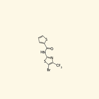 O=C(Nc1nc(C(F)(F)F)c(Br)s1)c1cccs1